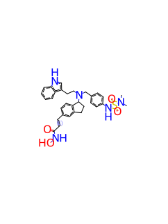 CN(C)S(=O)(=O)Nc1ccc(CN(CCc2c[nH]c3ccccc23)C2CCc3cc(/C=C/C(=O)NO)ccc32)cc1